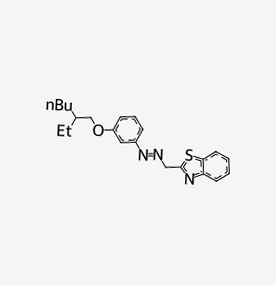 CCCCC(CC)COc1cccc(N=NCc2nc3ccccc3s2)c1